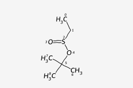 CCS(=O)OC(C)(C)C